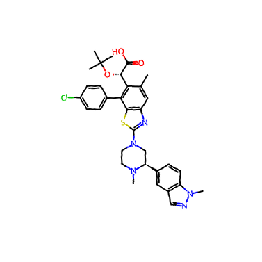 Cc1cc2nc(N3CCN(C)[C@H](c4ccc5c(cnn5C)c4)C3)sc2c(-c2ccc(Cl)cc2)c1[C@H](OC(C)(C)C)C(=O)O